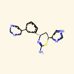 NC1=N[C@H](c2cccc(-c3cncnc3)c2)C[C@@H](c2c[nH]cn2)S1